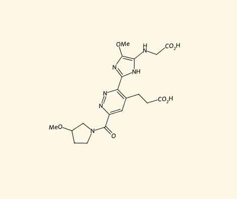 COc1nc(-c2nnc(C(=O)N3CCC(OC)C3)cc2CCC(=O)O)[nH]c1NCC(=O)O